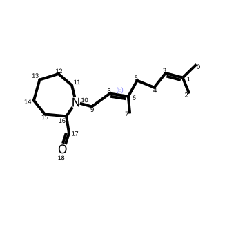 CC(C)=CCC/C(C)=C/CN1CCCCCC1C=O